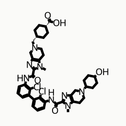 Cn1c(C(=O)Nc2cccc(-c3cccc(NC(=O)c4nc5c(n4C)CCN(C4CCC(O)CC4)C5)c3Cl)c2Cl)nc2c1CCN(C[C@H]1CC[C@@H](C(=O)O)CC1)C2